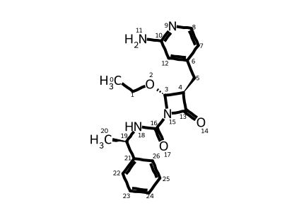 CCO[C@@H]1[C@@H](Cc2ccnc(N)c2)C(=O)N1C(=O)N[C@H](C)c1ccccc1